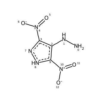 NNc1c([N+](=O)[O-])n[nH]c1[N+](=O)[O-]